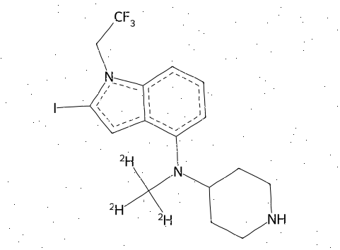 [2H]C([2H])([2H])N(c1cccc2c1cc(I)n2CC(F)(F)F)C1CCNCC1